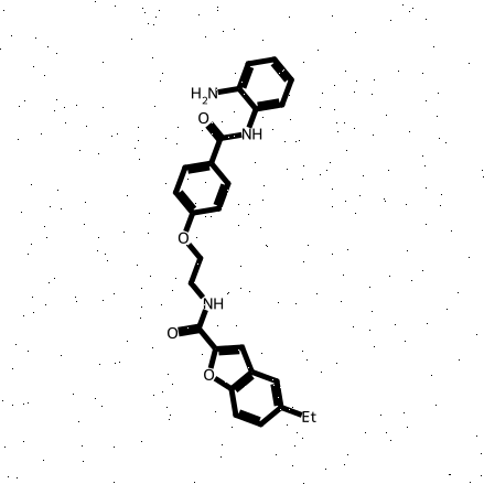 CCc1ccc2oc(C(=O)NCCOc3ccc(C(=O)Nc4ccccc4N)cc3)cc2c1